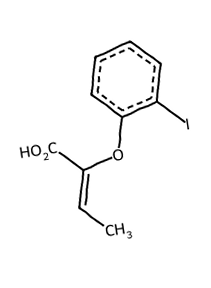 C/C=C(\Oc1ccccc1I)C(=O)O